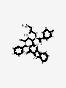 CCCC(c1nc2c(oc3ccccc32)c(=O)n1Cc1ccccc1)N(CC(O)CN)C(=O)c1ccc(C)cc1